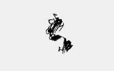 O=C(NC(CCO[C@H]1C[C@@H](CCc2ccc3c(n2)NCCC3)C1)C(=O)O)c1cccc(F)c1Cl